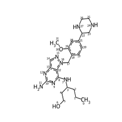 CCCC(CCO)Nc1nc(N)nc2cnn(Cc3ccc(C4CNCCN4)cc3OC)c12